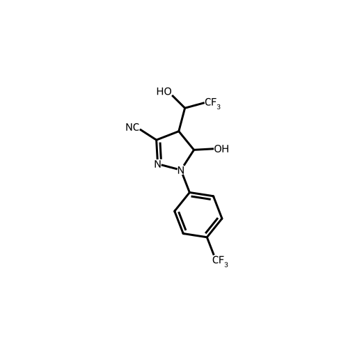 N#CC1=NN(c2ccc(C(F)(F)F)cc2)C(O)C1C(O)C(F)(F)F